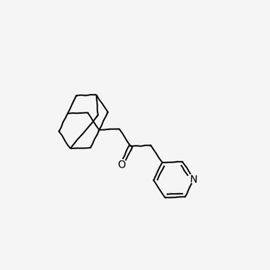 O=C(Cc1cccnc1)CC12CC3CC(CC(C3)C1)C2